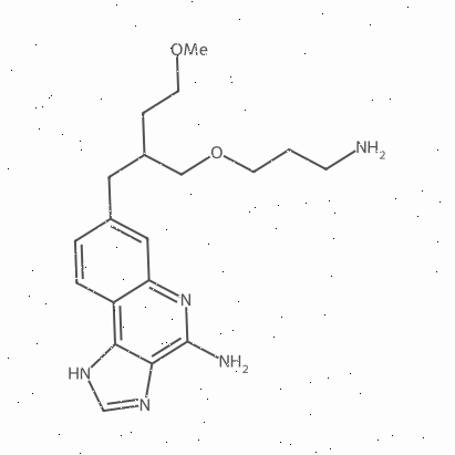 COCCC(COCCCN)Cc1ccc2c(c1)nc(N)c1nc[nH]c12